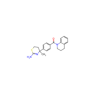 CC1(c2ccc(C(=O)N3CCCc4ccccc43)cc2)CCSC(N)=N1